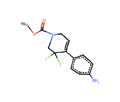 CC(C)(C)OC(=O)N1CC=C(c2ccc(N)cc2)C(F)(F)C1